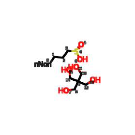 CCCCCCCCCCCCS(=O)O.OCC(CO)(CO)CO